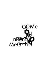 CCCCCn1c(NCCCOC)nc2cccc(-c3nc4cc(C(=O)OC)ccc4n3CCC(C)C)c21